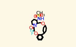 CS(=O)(=O)N[C@H]1CCCN2C(=O)C(F)(F)Oc3ccccc3C3CCC(CC3)OCC12